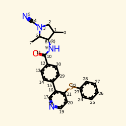 CC1CN(C#N)C(C)[C@@H]1NC(=O)c1ccc(-c2cnccc2Sc2ccccc2)cc1